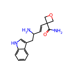 NC(=O)C1(C=CC(N)Cc2c[nH]c3ccccc23)COC1